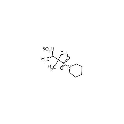 CC(C(C)(C)S(=O)(=O)N1CCCCC1)S(=O)(=O)O